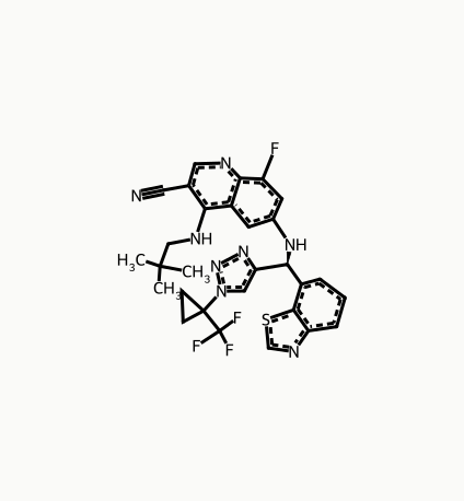 CC(C)(C)CNc1c(C#N)cnc2c(F)cc(N[C@H](c3cn(C4(C(F)(F)F)CC4)nn3)c3cccc4ncsc34)cc12